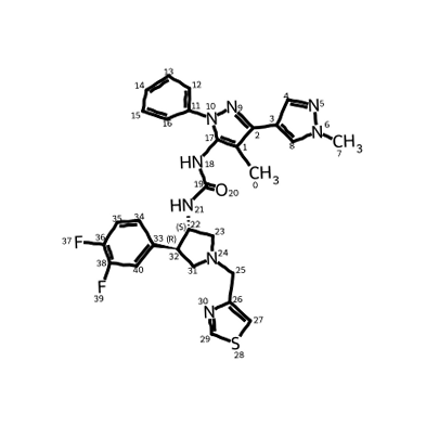 Cc1c(-c2cnn(C)c2)nn(-c2ccccc2)c1NC(=O)N[C@@H]1CN(Cc2cscn2)C[C@H]1c1ccc(F)c(F)c1